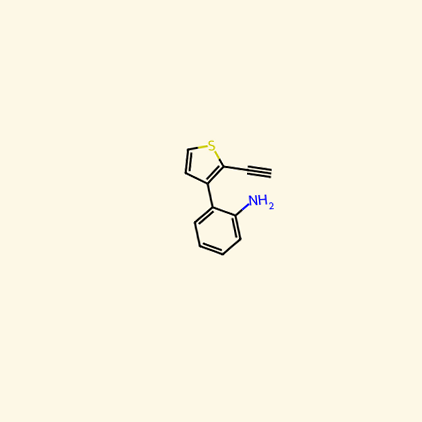 C#Cc1sccc1-c1ccccc1N